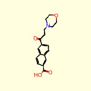 O=C(O)c1ccc2cc(C(=O)CCN3CCOCC3)ccc2c1